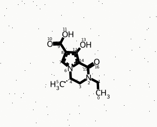 CCN1C[C@H](C)n2cc(C(=O)O)c(O)c2C1=O